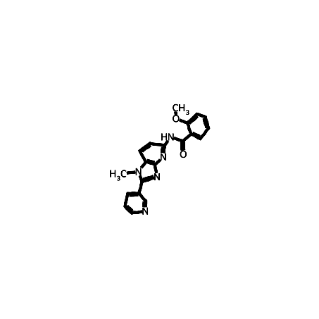 COc1ccccc1C(=O)Nc1ccc2c(n1)nc(-c1cccnc1)n2C